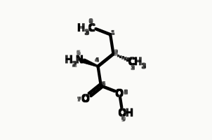 CC[C@H](C)[C@H](N)C(=O)OO